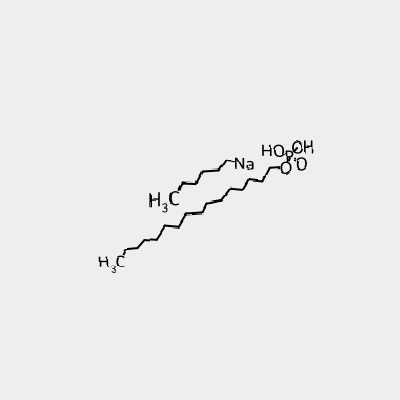 CCCCCCCCCCCCCCCCOP(=O)(O)O.CCCCC[CH2][Na]